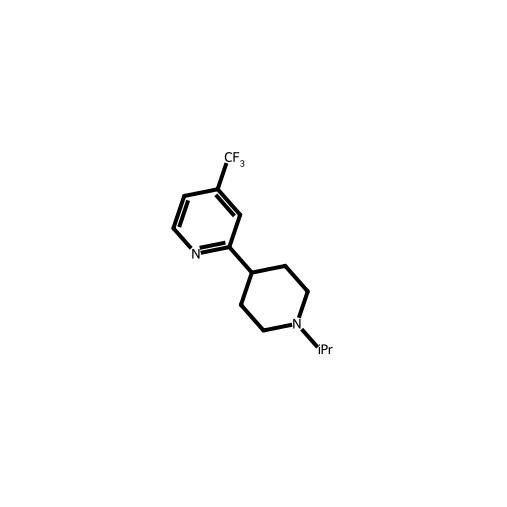 CC(C)N1CCC(c2cc(C(F)(F)F)ccn2)CC1